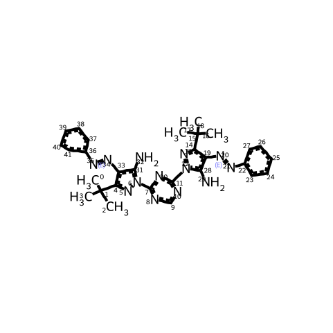 CC(C)(C)c1nn(-c2ncnc(-n3nc(C(C)(C)C)c(/N=N/c4ccccc4)c3N)n2)c(N)c1/N=N/c1ccccc1